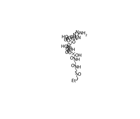 CC/C=C\CC(=O)SCCNC(=O)CCNC(=O)C(O)C(C)(C)COP(=O)(O)OP(=O)(O)OCC1OC(n2cnc3c(N)ncnc32)C(O)C1OP(=O)(O)O